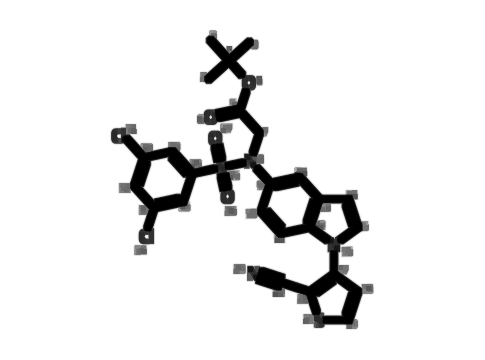 CC(C)(C)OC(=O)CN(c1ccc2c(ccn2-c2ccsc2C#N)c1)S(=O)(=O)c1cc(Cl)cc(Cl)c1